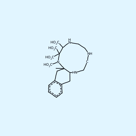 CC12Cc3ccccc3CC1NCCNCCNC(C(=O)O)C(C(=O)O)(C(=O)O)N2C(=O)O